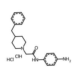 Cl.Cl.Nc1ccc(NC(=O)CN2CCC(Cc3ccccc3)CC2)cc1